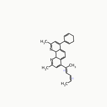 C/C=C\C=C(/C)C1=CC(C)=NC2C1=CC=C1C(C3=CCCC=C3)=CC(C)=NC12